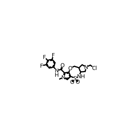 Cn1cc2c(c1C(=O)Nc1cc(F)c(F)c(F)c1)OCC1CN(CCl)CC1NS2(=O)=O